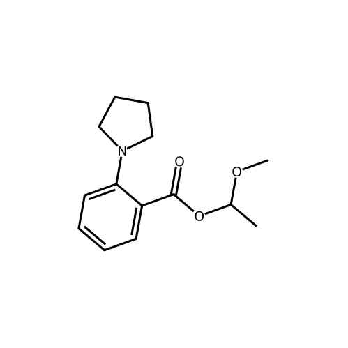 COC(C)OC(=O)c1ccccc1N1CCCC1